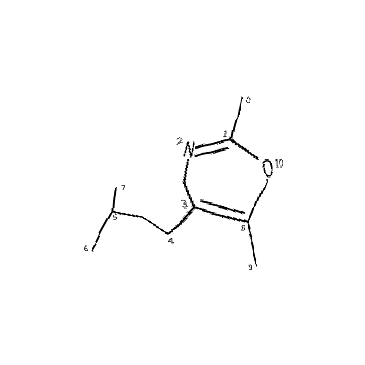 Cc1nc(CC(C)C)c(C)o1